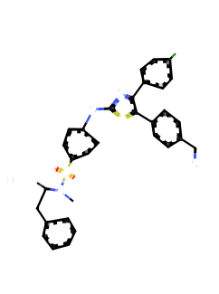 CN(C(Cc1ccccc1)C(=O)O)S(=O)(=O)c1ccc(Nc2nc(-c3ccc(Cl)cc3)c(-c3ccc(CN)cc3)s2)cc1